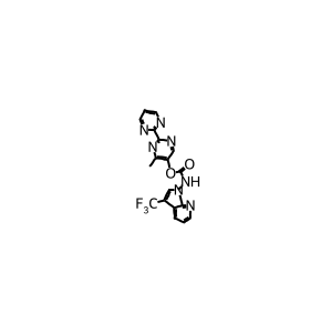 Cc1nc(-c2ncccn2)ncc1OC(=O)Nn1cc(C(F)(F)F)c2cccnc21